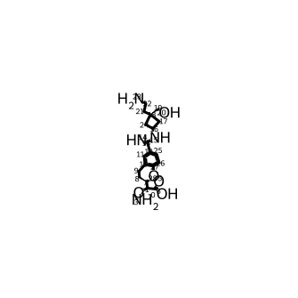 C[C@@](ON)(C(=O)O)[C@H]1CCc2cc(C(=N)N[C@H]3C[C@@](CO)(CCN)C3)ccc2O1